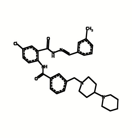 Cc1cccc(C=NNC(=O)c2cc(Cl)ccc2NC(=O)c2cccc(CN3CCC(N4CCCCC4)CC3)c2)c1